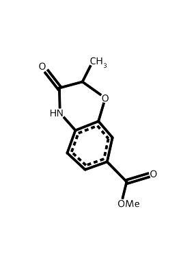 COC(=O)c1ccc2c(c1)OC(C)C(=O)N2